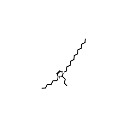 CCCCCCCCCCCCn1cc[n+](CCCCCC)c1CCC